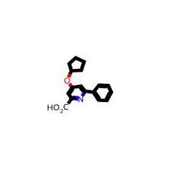 O=C(O)c1cc(OC2CCCC2)cc(-c2ccccc2)n1